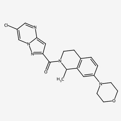 CC1c2cc(N3CCOCC3)ccc2CCN1C(=O)c1cc2ncc(Cl)cn2n1